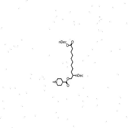 CCCCCCCCCCOC(=O)CCCCCCCCC(CCCCCCCCCC)COC(=O)C1CCN(C)CC1